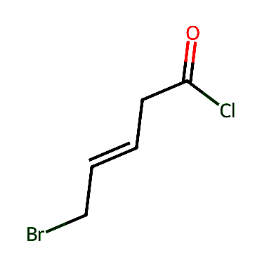 O=C(Cl)C/C=C/CBr